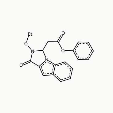 CCON1C(=O)c2cc3ccccc3n2C1CC(=O)Oc1ccccc1